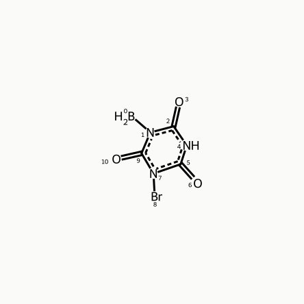 Bn1c(=O)[nH]c(=O)n(Br)c1=O